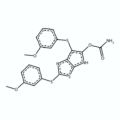 COc1cccc(Sc2nc3c(Sc4cccc(OC)c4)c(OC(N)=O)[nH]c3s2)c1